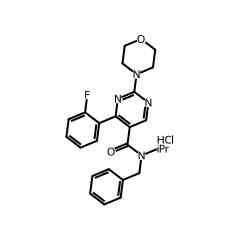 CC(C)N(Cc1ccccc1)C(=O)c1cnc(N2CCOCC2)nc1-c1ccccc1F.Cl